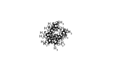 CCC1OC(OC2C(CC)OC(OC3C(CC)OC(OC4C(CC)OC(OC5C(CC)OC(OC6C(CC)OC(OC7C(CC)OC(OC)C(C)C7C)C(C)C6C)C(C)C5C)C(C)C4C)C(C)C3C)C(C)C2C)C(C)C(C)C1C